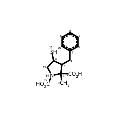 CC1(C(=O)O)C(Cc2ccccc2)C(S)CN1C(=O)O